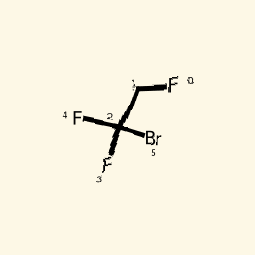 F[CH]C(F)(F)Br